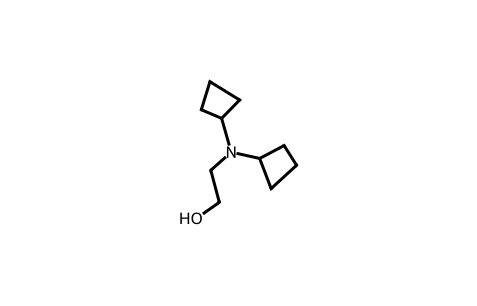 OCCN(C1CCC1)C1CCC1